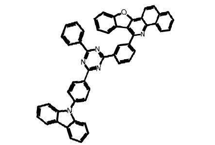 c1ccc(-c2nc(-c3ccc(-n4c5ccccc5c5ccccc54)cc3)nc(-c3cccc(-c4nc5c6ccccc6ccc5c5oc6ccccc6c45)c3)n2)cc1